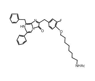 CC(=O)NCCCCCCCCOc1ccc(Cc2nc3c(Cc4ccccc4)[nH]c(-c4ccccc4)cn-3c2=O)cc1F